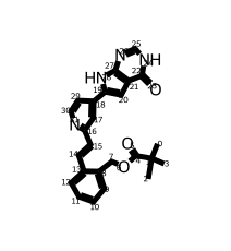 CC(C)(C)C(=O)OCc1ccccc1/C=C/c1cc(-c2cc3c(=O)[nH]cnc3[nH]2)ccn1